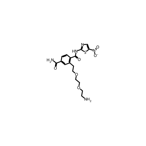 NCCOCCOCCc1cc(C(N)=O)ccc1C(=O)Nc1ncc([N+](=O)[O-])s1